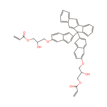 C=CC(=O)OCC(O)COc1ccc2cc(C3(c4ccc5cc(OCC(O)COC(=O)C=C)ccc5c4)c4ccccc4-c4cc5ccccc5cc43)ccc2c1